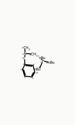 CCCCP(CCCC)CCCC.CN(C)Cc1ccccc1